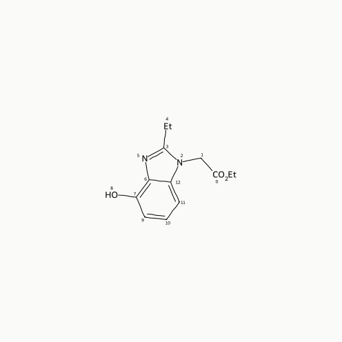 CCOC(=O)Cn1c(CC)nc2c(O)cccc21